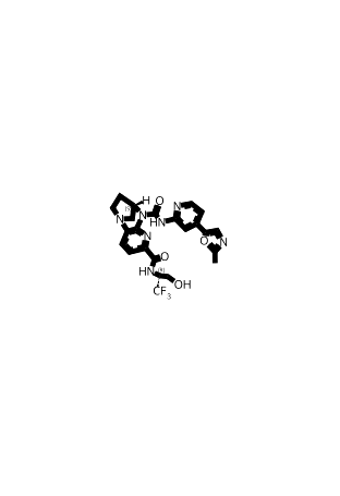 Cc1ncc(-c2ccnc(NC(=O)N3c4nc(C(=O)N[C@H](CO)C(F)(F)F)ccc4N4CC[C@H]3C4)c2)o1